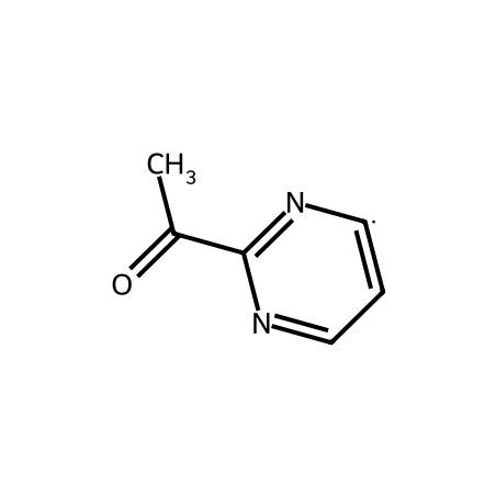 CC(=O)c1n[c]ccn1